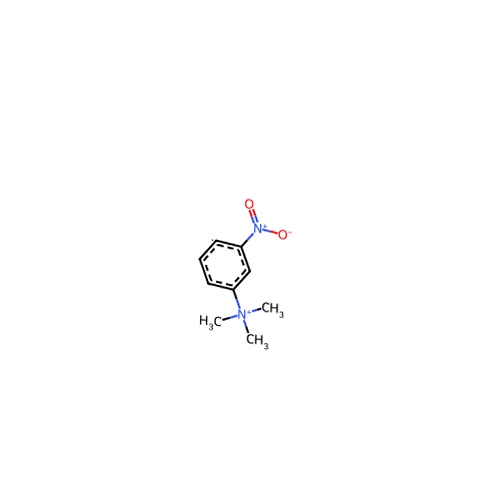 C[N+](C)(C)c1cc[c]c([N+](=O)[O-])c1